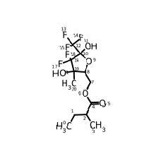 CCC(C)C(=O)OCC1OC(O)(C(F)(F)F)C(F)(F)C1(C)O